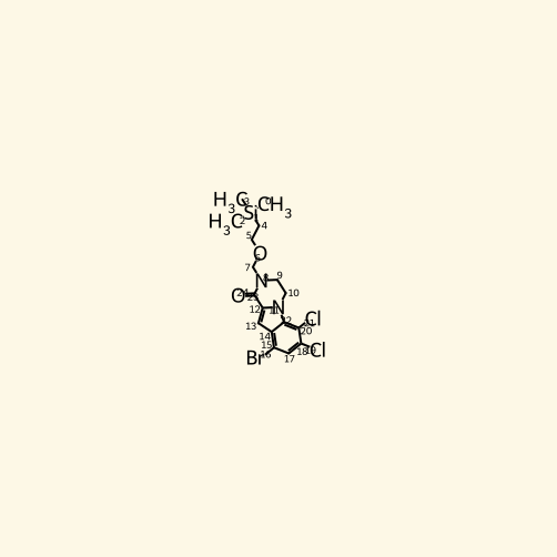 C[Si](C)(C)CCOCN1CCn2c(cc3c(Br)cc(Cl)c(Cl)c32)C1=O